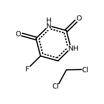 ClCCl.O=c1[nH]cc(F)c(=O)[nH]1